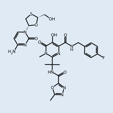 Cc1nnc(C(=O)NC(C)(C)c2nc(C(=O)NCc3ccc(F)cc3)c(O)c(=O)n2C)o1.Nc1ccn([C@@H]2CS[C@H](CO)O2)c(=O)n1